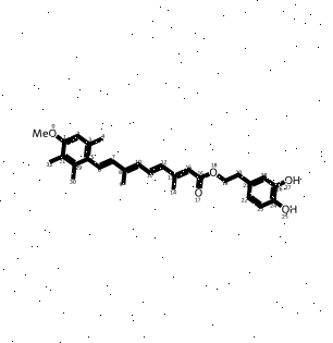 COc1cc(C)c(/C=C/C(C)=C/C=C/C(C)=C/C(=O)OCCc2ccc(O)c(O)c2)c(C)c1C